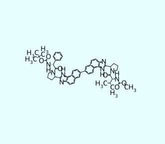 COC(=O)N[C@H](C(=O)N1CCCC1c1nc2ccc3cc(-c4ccc5c(ccc6nc(C7CCCN7C(=O)[C@H](NC(=O)OC(C)(C)C)c7ccccc7)[nH]c65)c4)ccc3c2[nH]1)C(C)C